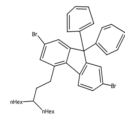 CCCCCCC(CCCCCC)CCc1cc(Br)cc2c1-c1ccc(Br)cc1C2(c1ccccc1)c1ccccc1